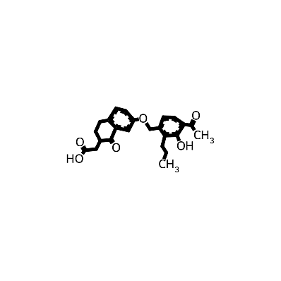 CCCc1c(COc2ccc3c(c2)C(=O)C(CC(=O)O)CC3)ccc(C(C)=O)c1O